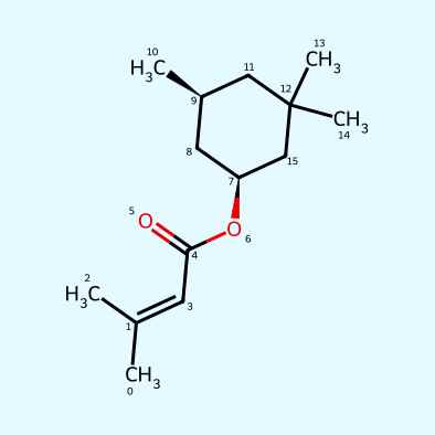 CC(C)=CC(=O)O[C@H]1C[C@@H](C)CC(C)(C)C1